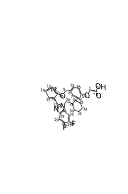 O=C(O)COc1ccc(COc2ncccc2-c2nc3cc(F)c(F)cc3n2CC2CCCCC2)cc1